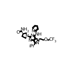 CC(C)c1nn(CCOCC(F)(F)F)c2c(Nc3ccccn3)nc(N3CC[C@@H](C(N)=O)C3)nc12